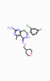 Cc1nc(N)nc2c1/C(=N/OCC1CCOCC1)N[C@@H](c1ccc(F)cc1Br)C2